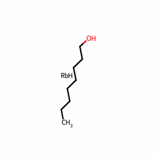 CCCCCCCCO.[RbH]